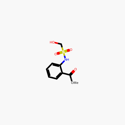 COC(=O)c1ccccc1NS(=O)(=O)CO